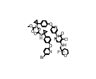 COC(=O)N(OC(=O)NC1(c2ccc(Oc3ccc(Br)cn3)cc2)CC1)C1(c2ccc(Oc3ccc(-n4ncc(NC[C@@]5(F)CCCOC5)c(Cl)c4=O)cn3)cc2)CC1